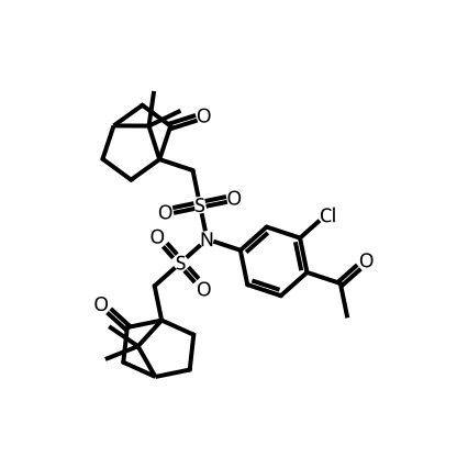 CC(=O)c1ccc(N(S(=O)(=O)CC23CCC(CC2=O)C3(C)C)S(=O)(=O)CC23CCC(CC2=O)C3(C)C)cc1Cl